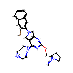 CN1CCC[C@H]1COc1nc2c(c(N3CCNCC3)n1)CN(c1cc3ccccc3cc1Br)C2